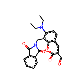 CCN(CC)c1ccc2cc(C=O)c(=O)oc2c1CN1C(=O)c2ccccc2C1=O